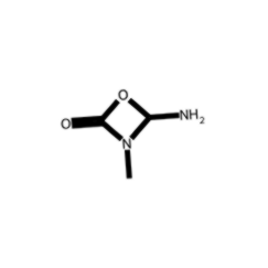 CN1C(=O)OC1N